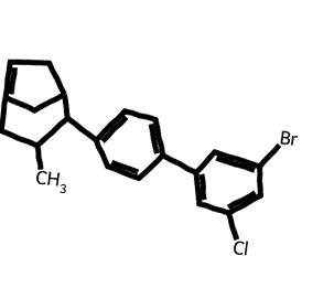 CC1CC2=CCC(C2)C1c1ccc(-c2cc(Cl)cc(Br)c2)cc1